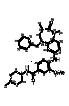 COc1cc(C(=O)NC2CCN(C)CC2)ccc1Nc1ncc2c(n1)N(Cc1ccccc1)CC(C)C(=O)N2C